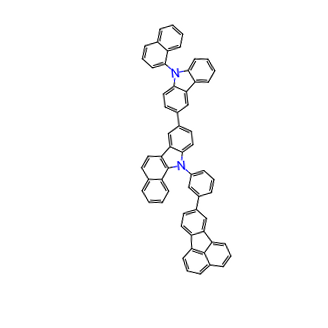 c1cc(-c2ccc3c(c2)-c2cccc4cccc-3c24)cc(-n2c3ccc(-c4ccc5c(c4)c4ccccc4n5-c4cccc5ccccc45)cc3c3ccc4ccccc4c32)c1